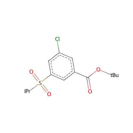 CC(C)S(=O)(=O)c1cc(Cl)cc(C(=O)OC(C)(C)C)c1